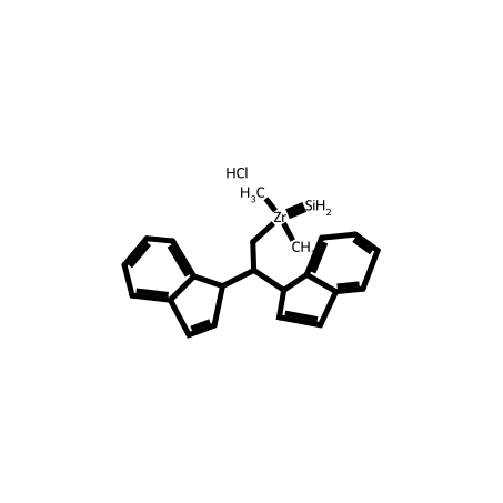 Cl.[CH3][Zr]([CH3])(=[SiH2])[CH2]C(C1C=Cc2ccccc21)C1C=Cc2ccccc21